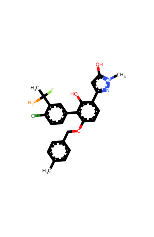 Cc1ccc(COc2ccc(-c3cc(O)n(C)n3)c(O)c2-c2ccc(Cl)c(C(C)(F)P)c2)cc1